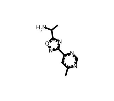 Cc1cc(-c2noc(C(C)N)n2)ncn1